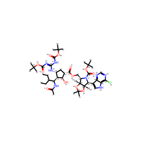 CCC(CC)C(NC(C)=O)[C@@H]1[C@H](O)[C@@H](C(=O)OC[C@@H]2[C@H]3OC(C)(C)O[C@H]3[C@H](c3c[nH]c4c(Cl)ncnc34)N2C(=O)OC(C)(C)C)C[C@H]1N/C(=N\C(=O)OC(C)(C)C)NC(=O)OC(C)(C)C